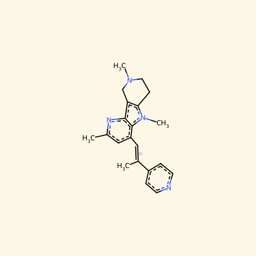 C/C(=C\c1cc(C)nc2c3c(n(C)c12)CCN(C)C3)c1ccncc1